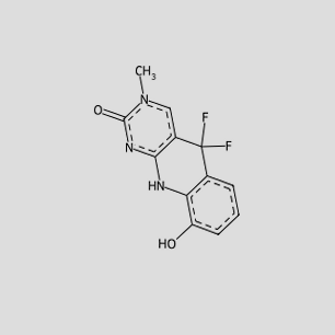 Cn1cc2c(nc1=O)Nc1c(O)cccc1C2(F)F